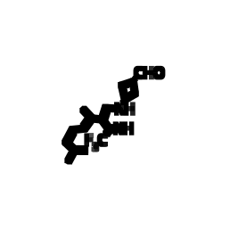 C=C(C)\C=C/C=C(C)/C(=C/N[C@H]1C[C@H](C=O)C1)C(=N)C(F)(F)F